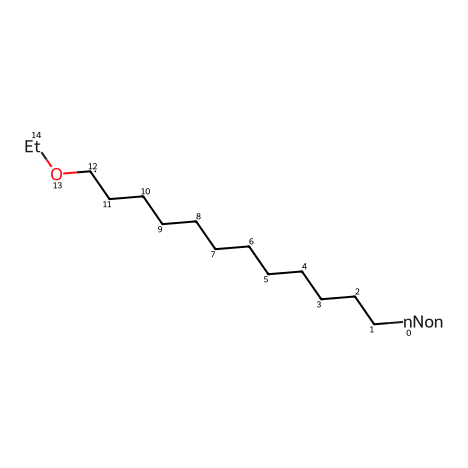 CCCCCCCCCCCCCCCCCCCC[CH]OCC